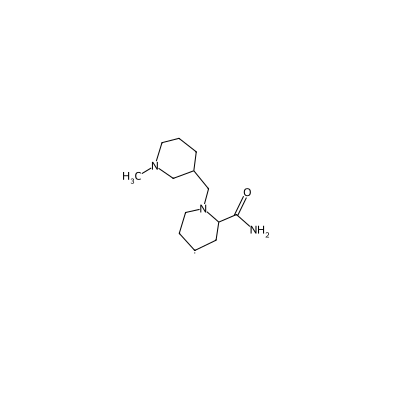 CN1CCCC(CN2CC[CH]CC2C(N)=O)C1